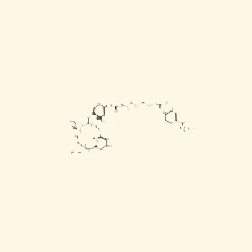 CNC(=O)c1ccc(OC(=O)OCCOCCNC(=S)Nc2ccc(CC3CN(CC(=O)O)CCN(CC(=O)O)Cc4cccc(n4)CN3CC(=O)O)cc2)cc1